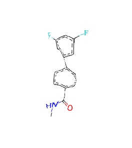 CNC(=O)c1ccc(-c2cc(F)cc(F)c2)cc1